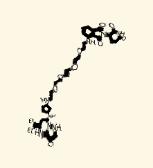 CCC(CC)C1CC(N[C@H]2CC[C@H](NCCOCCOCCOCCOCCNc3cccc4c3C(=O)N(C3CCC(=O)NC3=O)C4=O)C2)N2NCC(Cl)C2N1